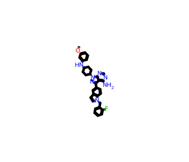 COc1cccc(NC2CCC(n3nc(-c4ccc5c(ccn5Cc5ccccc5F)c4)c4c(N)ncnc43)CC2)c1